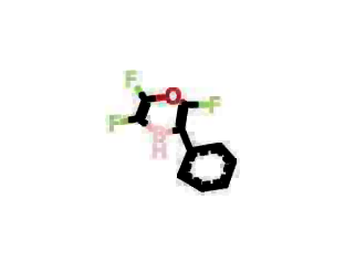 FC1=C(F)OC(F)=C(c2ccccc2)B1